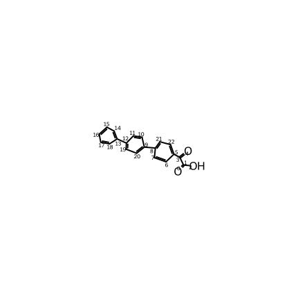 O=C(O)C(=O)c1ccc(-c2ccc(-c3ccccc3)cc2)cc1